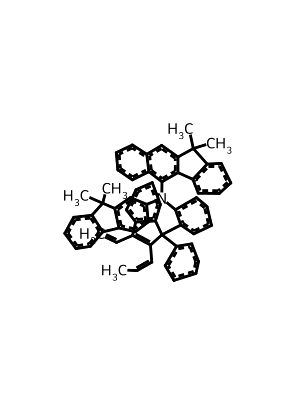 C=CC1=C(/C=C\C)C(c2ccccc2)(c2ccccc2N(c2ccc3c(c2)C(C)(C)c2ccccc2-3)c2c3c(cc4ccccc24)C(C)(C)c2ccccc2-3)c2ccccc21